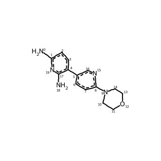 Nc1ccc(-c2ccc(N3CCOCC3)nc2)c(N)n1